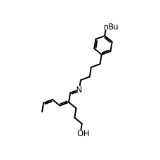 C\C=C/C=C(\C=N\CCCCc1ccc(CCCC)cc1)CCCO